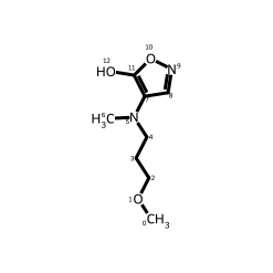 COCCCN(C)c1cnoc1O